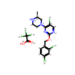 C[C@H]1CN(c2nc(OCc3ccc(Cl)cc3F)ncc2F)CCN1.O=C(O)C(F)(F)F